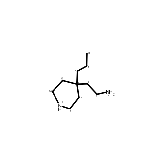 CCCC1(CCN)CCNCC1